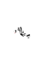 C=C(C)[C@@H]1CC[C@]2(CCCN(CC)CCC)CC[C@]3(C)[C@H](CC[C@@H]4[C@@]5(C)CC[C@H](OC(=O)CC(C)(C)C(=O)O)C(C)(C)[C@@H]5CC[C@]43C)[C@@H]12